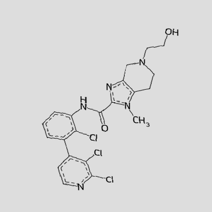 Cn1c(C(=O)Nc2cccc(-c3ccnc(Cl)c3Cl)c2Cl)nc2c1CCN(CCO)C2